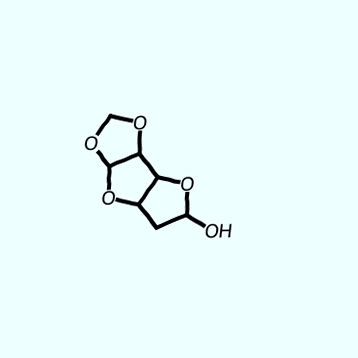 OC1CC2OC3OCOC3C2O1